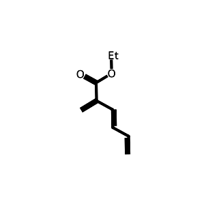 C=CC=CC(=C)C(=O)OCC